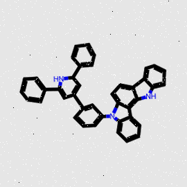 C1=C(c2cccc(-n3c4ccccc4c4c5[nH]c6ccccc6c5ccc43)c2)C=C(c2ccccc2)NC1c1ccccc1